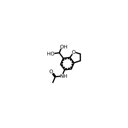 CC(=O)Nc1cc2c(c(C(O)O)c1)OCC2